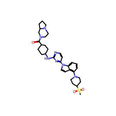 CS(=O)(=O)C1CCN(c2cccc3c2ccn3-c2ccnc(NC3CCC(C(=O)N4CCN5CCCC5C4)CC3)n2)CC1